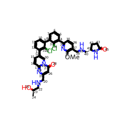 COc1nc(-c2cccc(-c3cccc(-c4ccc5nc(CNC[C@@H](C)O)cc(=O)n5c4)c3Cl)c2Cl)ccc1CNC[C@@H]1CCC(=O)N1